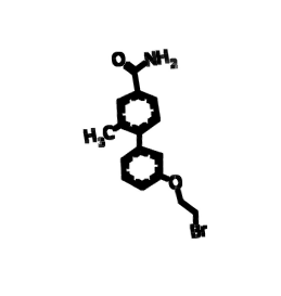 Cc1cc(C(N)=O)ccc1-c1cccc(OCCBr)c1